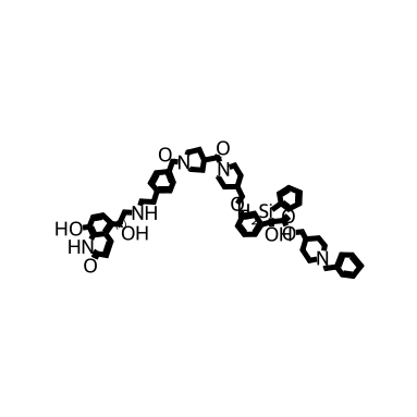 O=C(c1ccc(CCNC[C@H](O)c2ccc(O)c3[nH]c(=O)ccc23)cc1)N1CCC(C(=O)N2CCC(COc3cccc(C(O)([SiH2]c4ccccc4)C(=O)OCC4CCN(Cc5ccccc5)CC4)c3)CC2)CC1